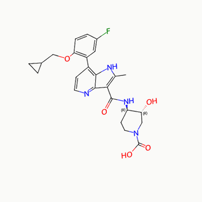 Cc1[nH]c2c(-c3cc(F)ccc3OCC3CC3)ccnc2c1C(=O)N[C@@H]1CCN(C(=O)O)C[C@H]1O